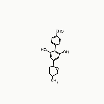 CC1CCC(c2cc(O)c(-c3ccc(C=O)cc3)c(O)c2)OC1